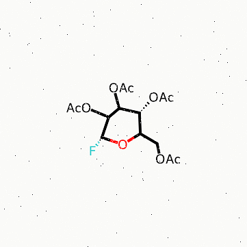 CC(=O)OCC1O[C@H](F)C(OC(C)=O)C(OC(C)=O)[C@@H]1OC(C)=O